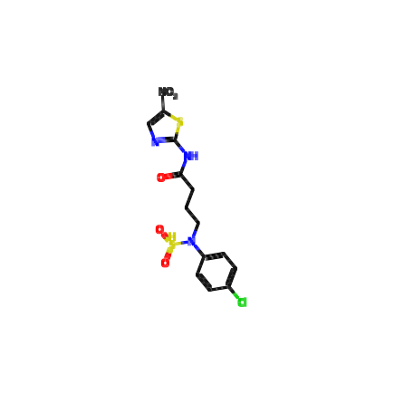 O=C(CCCN(c1ccc(Cl)cc1)[SH](=O)=O)Nc1ncc([N+](=O)[O-])s1